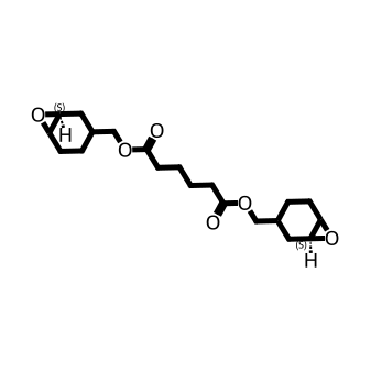 O=C(CCCCC(=O)OCC1CCC2O[C@H]2C1)OCC1CCC2O[C@H]2C1